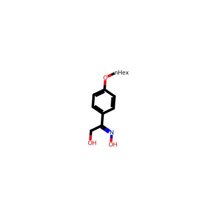 CCCCCCOc1ccc(C(CO)=NO)cc1